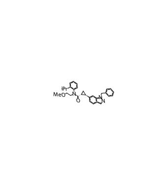 COCCN(C(=O)[C@@H]1C[C@H]1c1ccc2cnn(Cc3ccccc3)c2c1)c1ccccc1C(C)C